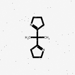 CC(C)(C1=NCCC1)C1=NCCC1